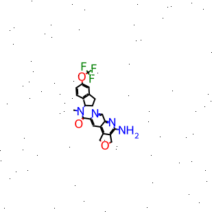 CN(C(=O)c1cc2c3c(c(N)nc2cn1)COC3)[C@@H]1CCc2cc(OC(F)(F)F)ccc21